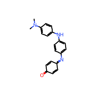 CN(C)c1ccc(Nc2ccc(N=C3C=CC(=O)C=C3)cc2)cc1